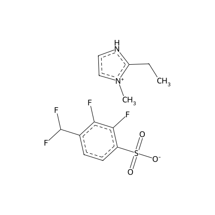 CCc1[nH]cc[n+]1C.O=S(=O)([O-])c1ccc(C(F)F)c(F)c1F